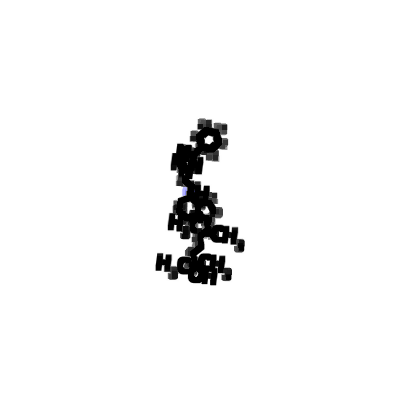 C[C@H](CCCC(C)(C)O)[C@H]1CC[C@H]2/C(=C/Cn3nnc(-c4ccccc4)n3)CCC[C@]12C